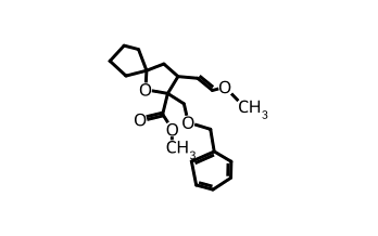 COC=CC1CC2(CCCC2)OC1(COCc1ccccc1)C(=O)OC